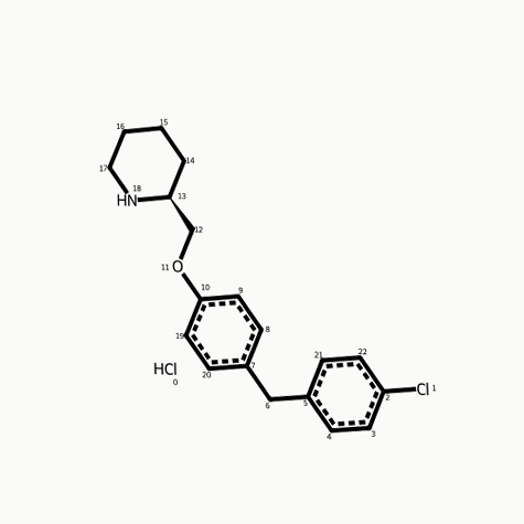 Cl.Clc1ccc(Cc2ccc(OC[C@@H]3CCCCN3)cc2)cc1